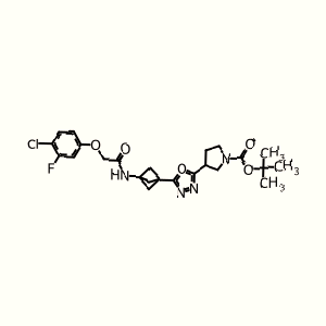 CC(C)(C)OC(=O)N1CCC(c2nnc(C34CC(NC(=O)COc5ccc(Cl)c(F)c5)(C3)C4)o2)C1